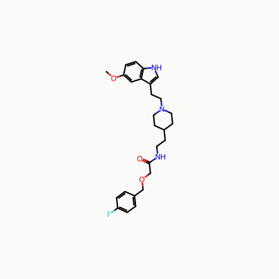 COc1ccc2[nH]cc(CCN3CCC(CCNC(=O)COCc4ccc(F)cc4)CC3)c2c1